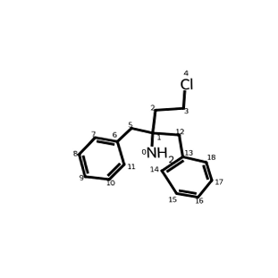 NC(CCCl)(Cc1ccccc1)Cc1ccccc1